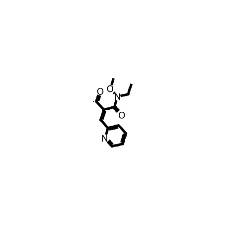 CCN(OC)C(=O)C([C]=O)=Cc1ccccn1